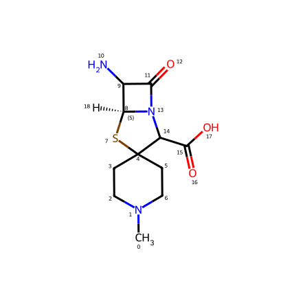 CN1CCC2(CC1)S[C@H]1C(N)C(=O)N1C2C(=O)O